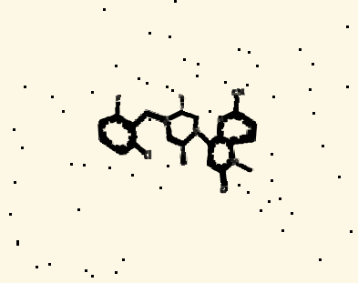 C[C@@H]1CN(c2cc(=O)n(C)c3ccc(C#N)nc23)[C@@H](C)CN1Cc1c(F)cccc1Cl